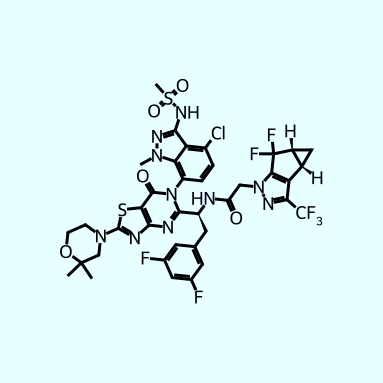 Cn1nc(NS(C)(=O)=O)c2c(Cl)ccc(-n3c([C@H](Cc4cc(F)cc(F)c4)NC(=O)Cn4nc(C(F)(F)F)c5c4C(F)(F)[C@@H]4C[C@H]54)nc4nc(N5CCOC(C)(C)C5)sc4c3=O)c21